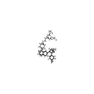 CCN(CC)CCCN1CCN(c2ncnc3ccc(-c4c[nH]nc4-c4ccc(F)cc4)cc23)CC1